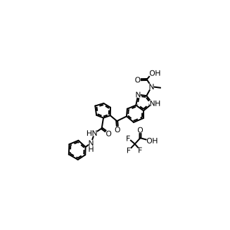 CN(C(=O)O)c1nc2cc(C(=O)c3ccccc3C(=O)NNc3ccccc3)ccc2[nH]1.O=C(O)C(F)(F)F